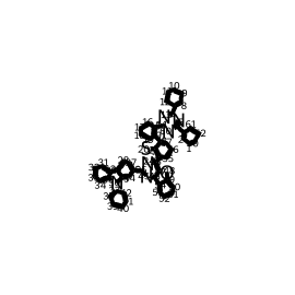 c1ccc(-c2nc(-c3ccccc3)nc(-c3cccc4sc5c(-c6nc(-c7ccc8c9ccccc9n(-c9ccccc9)c8c7)nc7c6oc6ccccc67)cccc5c34)n2)cc1